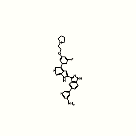 Nc1cncc(-c2ccc3[nH]nc(-c4cc5c(-c6cc(F)cc(OCCN7CCCC7)c6)cncc5[nH]4)c3c2)c1